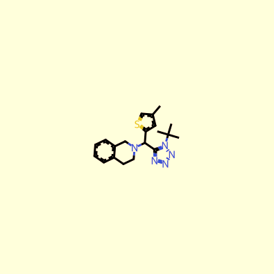 Cc1csc(C(c2nnnn2C(C)(C)C)N2CCc3ccccc3C2)c1